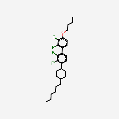 CCCCCCC1CCC(c2ccc(-c3ccc(OCCCC)c(F)c3F)c(F)c2F)CC1